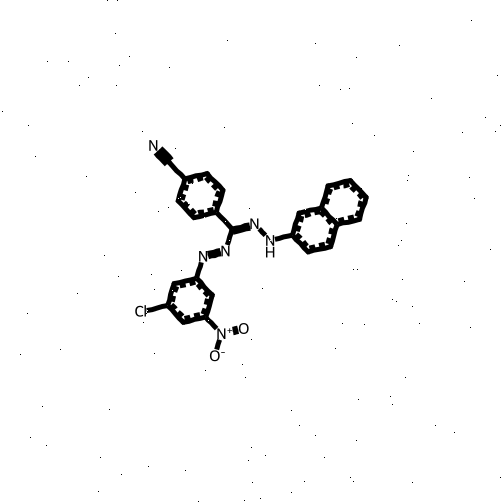 N#Cc1ccc(C(N=Nc2cc(Cl)cc([N+](=O)[O-])c2)=NNc2ccc3ccccc3c2)cc1